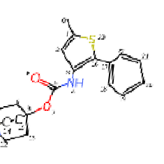 Cc1cc(NC(=O)OC23CCN(CC2)CC3)c(-c2ccccc2)s1